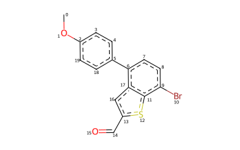 COc1ccc(-c2ccc(Br)c3sc(C=O)cc23)cc1